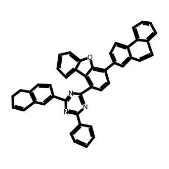 C1=Cc2cc(-c3nc(-c4ccccc4)nc(-c4ccc(-c5ccc6c(ccc7ccccc76)c5)c5oc6ccccc6c45)n3)ccc2CC1